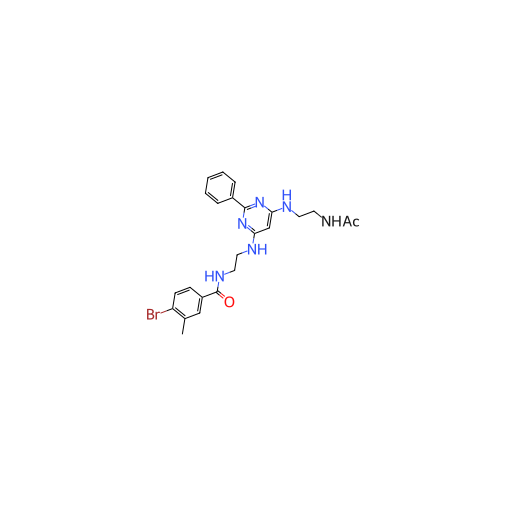 CC(=O)NCCNc1cc(NCCNC(=O)c2ccc(Br)c(C)c2)nc(-c2ccccc2)n1